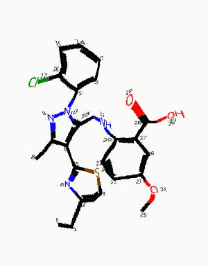 CCc1csc(-c2c(C)nn(-c3ccccc3Cl)c2Nc2ccc(OC)cc2C(=O)O)n1